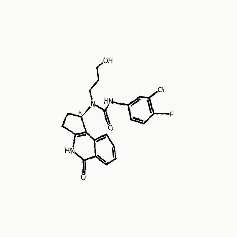 O=C(Nc1ccc(F)c(Cl)c1)N(CCCO)[C@@H]1CCc2[nH]c(=O)c3ccccc3c21